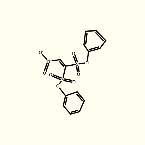 O=[N+]([O-])C=C(S(=O)(=O)Oc1ccccc1)S(=O)(=O)Oc1ccccc1